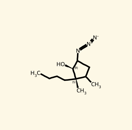 CCCC[C@@]1(C)C(C)CC(N=[N+]=[N-])[C@@H]1O